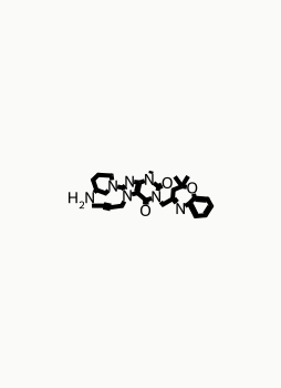 CC#CCn1c(N2CCCC(N)C2)nc2c1c(=O)n(CC1=Nc3ccccc3OC(C)(C)C1)c(=O)n2C